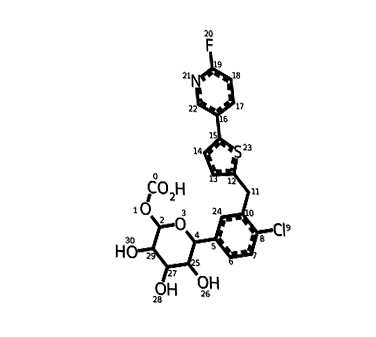 O=C(O)OC1OC(c2ccc(Cl)c(Cc3ccc(-c4ccc(F)nc4)s3)c2)C(O)C(O)C1O